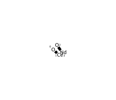 [O]=[Ce].[O]=[Nd]